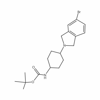 CC(C)(C)OC(=O)NC1CCC(N2Cc3ccc(Br)cc3C2)CC1